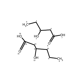 CCC(O)CC(=O)O.CCCC(O)CC(=O)O